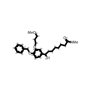 CCC(CCCCCCC(=O)NC)c1ccc(OCc2ccccc2)c(OCCCOC)c1